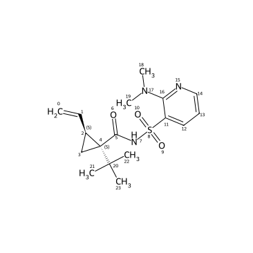 C=C[C@@H]1C[C@@]1(C(=O)NS(=O)(=O)c1cccnc1N(C)C)C(C)(C)C